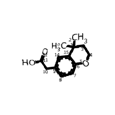 CC1(C)CCOc2ccc(CC(=O)O)cc21